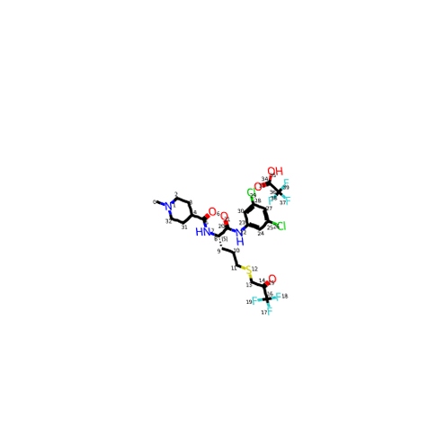 CN1CCC(C(=O)N[C@@H](CCCSCC(=O)C(F)(F)F)C(=O)Nc2cc(Cl)cc(Cl)c2)CC1.O=C(O)C(F)(F)F